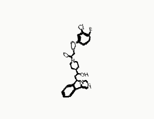 O=C(COc1ccc(F)c(Cl)c1)N1CCC(C(O)CC2c3ccccc3-c3cncn32)CC1